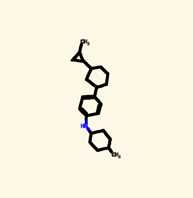 CC1CCC(Nc2ccc(C3CCCC(C4CC4C)C3)cc2)CC1